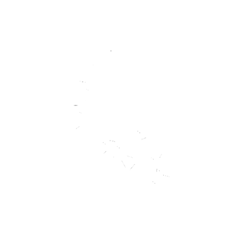 CCC(CO)OC(COC(=O)NCCC(=O)N[C@@H](C)C(=O)OCCCNC(=O)[C@H](Cc1ccccc1)NC(=O)[C@H](C)[C@@H](OC)[C@@H]1CCCN1C(=O)C[C@@H](C)[C@H]([C@@H](C)CC)N(C)C(=O)[C@@H](NC(=O)[C@H](C(C)C)N(C)C)C(C)C)OC